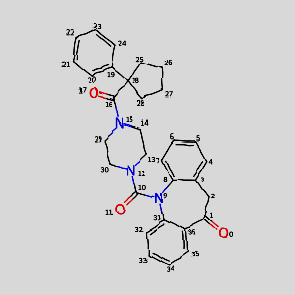 O=C1Cc2ccccc2N(C(=O)N2CCN(C(=O)C3(c4ccccc4)CCCC3)CC2)c2ccccc21